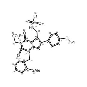 CCCOc1ccc(-c2sc3c(c2CNS(=O)(=O)CC)c(=O)n(CC(=O)OCC)c(=O)n3Cc2ccccc2SC)cc1